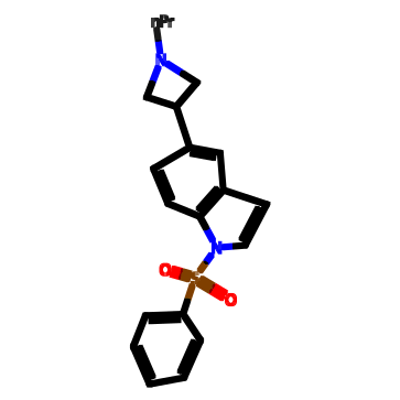 CCCN1CC(c2ccc3c(ccn3S(=O)(=O)c3ccccc3)c2)C1